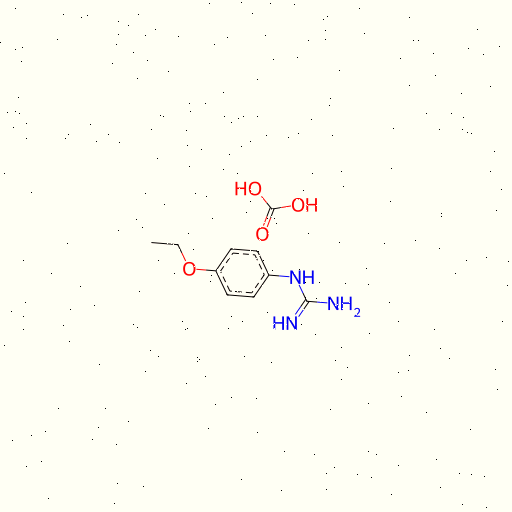 CCOc1ccc(NC(=N)N)cc1.O=C(O)O